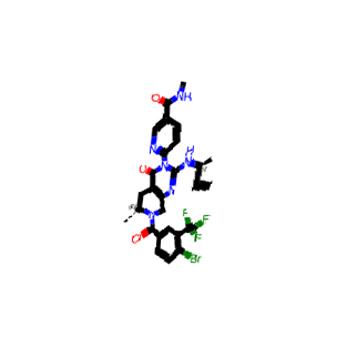 C=C[C@H](C)Nc1nc2c(c(=O)n1-c1ccc(C(=O)NC)cn1)C[C@@H](C)N(C(=O)c1ccc(Br)c(C(F)(F)F)c1)C2